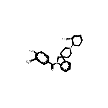 Cc1ccc(C(=O)N2CC3(CCN([C@@H]4CCCC[C@@H]4O)CC3)c3ccccc32)cc1[N+](=O)[O-]